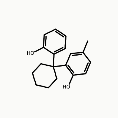 Cc1ccc(O)c(C2(c3ccccc3O)CCCCC2)c1